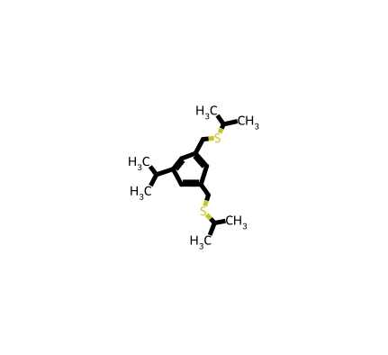 CC(C)SCc1cc(CSC(C)C)cc(C(C)C)c1